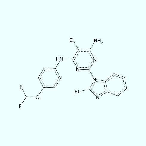 CCc1nc2ccccc2n1-c1nc(N)c(Cl)c(Nc2ccc(OC(F)F)cc2)n1